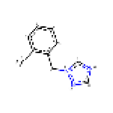 FC(F)(F)c1ccccc1Cn1cncn1